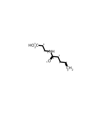 C=CCCC(=O)NCCC(=O)O